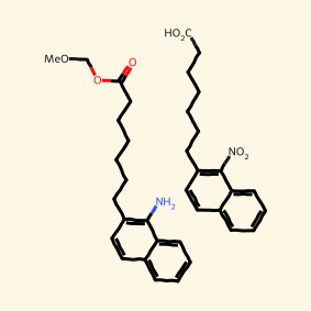 COCOC(=O)CCCCCCc1ccc2ccccc2c1N.O=C(O)CCCCCCc1ccc2ccccc2c1[N+](=O)[O-]